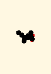 c1ccc(-c2ccc(-c3cc(-c4ccccc4)nc(-c4ccc(-n5c6ccccc6c6ccc7c8ccccc8n(-c8ccccc8)c7c65)cc4)c3)cc2)cc1